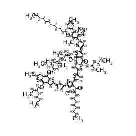 CCCCCCCCCCCCOc1c(C)c(-c2ccc(-c3cc4c(OCC(CC)CCCC)c5sc(-c6ccc(-c7sc(-c8ccc(-c9cc%10c(OCC(CC)CCCC)c%11sc(C)cc%11c(OCC(CC)CCCC)c%10s9)s8)c8c7C(=O)N(CCCCCCCC)C8=O)s6)cc5c(OCC(CC)CCCC)c4s3)s2)c2nsnc2c1-c1ccc(C)s1